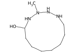 CN1NNCCCCCCCC(O)N1